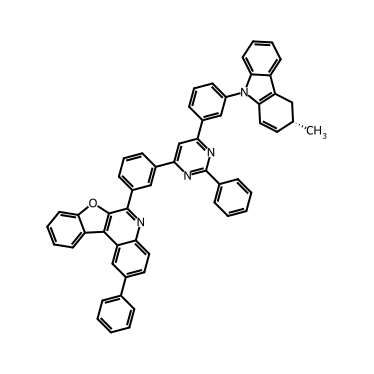 C[C@@H]1C=Cc2c(c3ccccc3n2-c2cccc(-c3cc(-c4cccc(-c5nc6ccc(-c7ccccc7)cc6c6c5oc5ccccc56)c4)nc(-c4ccccc4)n3)c2)C1